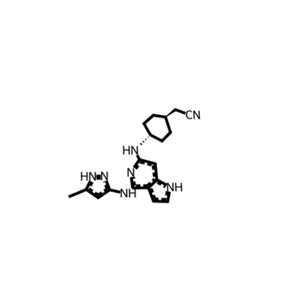 Cc1cc(Nc2nc(N[C@H]3CC[C@H](CC#N)CC3)cc3[nH]ccc23)n[nH]1